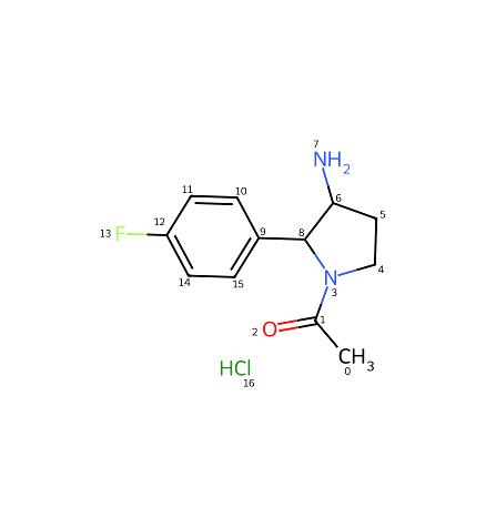 CC(=O)N1CCC(N)C1c1ccc(F)cc1.Cl